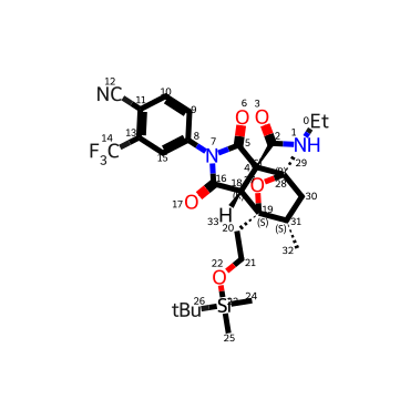 CCNC(=O)[C@]12C(=O)N(c3ccc(C#N)c(C(F)(F)F)c3)C(=O)[C@H]1[C@@]1(CCO[Si](C)(C)C(C)(C)C)O[C@]2(C)C[C@@H]1C